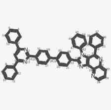 c1ccc(-c2cc(-c3ccccc3)nc(-c3ccc(-c4ccc(-c5nc6c7ncccc7nc(-c7ccccc7)c6n5-c5ccccc5)cc4)cc3)n2)cc1